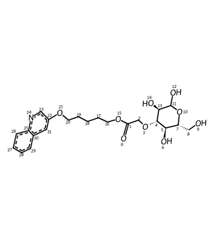 O=C(CO[C@H]1[C@H](O)[C@@H](CO)OC(O)[C@@H]1O)OCCCCCOc1cnc2ccccc2c1